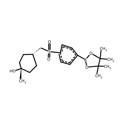 CC1(C)OB(c2ccc(S(=O)(=O)C[C@H]3CC[C@@](C)(O)CC3)cc2)OC1(C)C